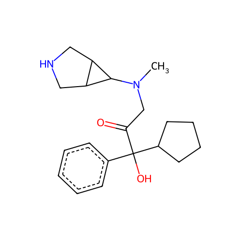 CN(CC(=O)C(O)(c1ccccc1)C1CCCC1)C1C2CNCC21